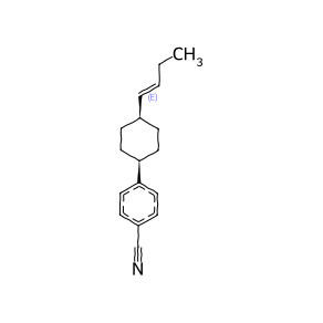 CC/C=C/[C@H]1CC[C@@H](c2ccc(C#N)cc2)CC1